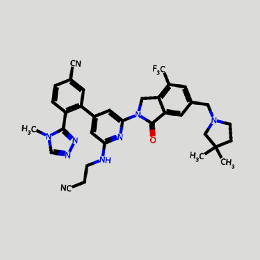 Cn1cnnc1-c1ccc(C#N)cc1-c1cc(NCCC#N)nc(N2Cc3c(cc(CN4CCC(C)(C)C4)cc3C(F)(F)F)C2=O)c1